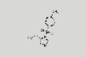 Cc1ccc(S(=O)(=O)n2cncc2CO)cc1